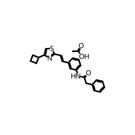 CC(=O)O.O=C(Cc1ccccc1)Nc1cccc(C=Cc2nc(C3CCC3)cs2)c1